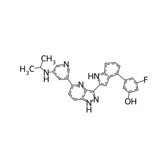 CC(C)Nc1cncc(-c2ccc3[nH]nc(-c4cc5c(-c6cc(O)cc(F)c6)cccc5[nH]4)c3n2)c1